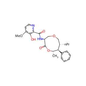 CCC[C@H]1COC[C@H](NC(=O)c2nccc(OC)c2O)C(=O)O[C@@H](C)[C@@H]1c1ccccc1